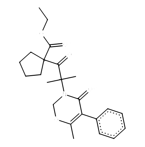 CCOC(=O)C1(C(=O)C(C)(C)N2COC(C)=C(c3ccccc3)C2=O)CCCC1